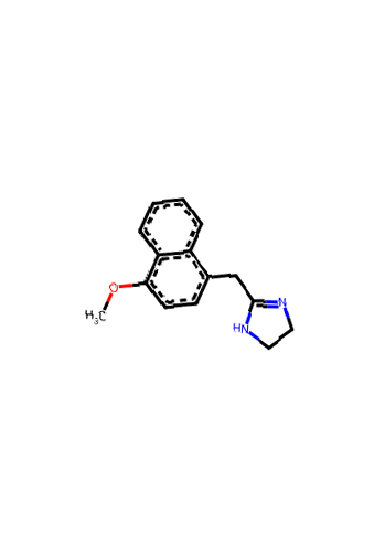 COc1ccc(CC2=NCCN2)c2ccccc12